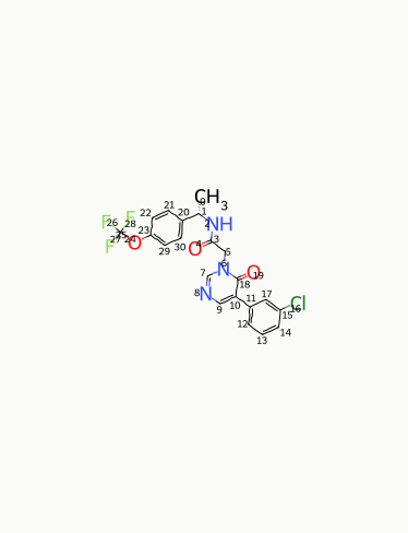 C[C@H](NC(=O)Cn1cncc(-c2cccc(Cl)c2)c1=O)c1ccc(OC(F)(F)F)cc1